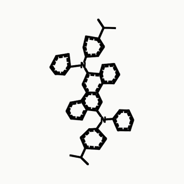 CC(C)c1ccc(N(c2ccccc2)c2cc3c4ccccc4c(N(c4ccccc4)c4ccc(C(C)C)cc4)cc3c3ccccc23)cc1